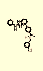 O=C(NCc1cccc(Cl)c1)c1ccc(-c2cccc3nc(Nc4ccccc4)nn23)cc1